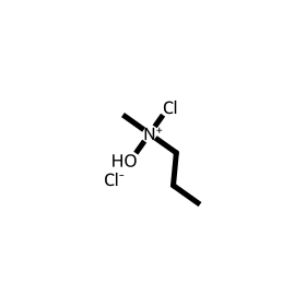 CCC[N+](C)(O)Cl.[Cl-]